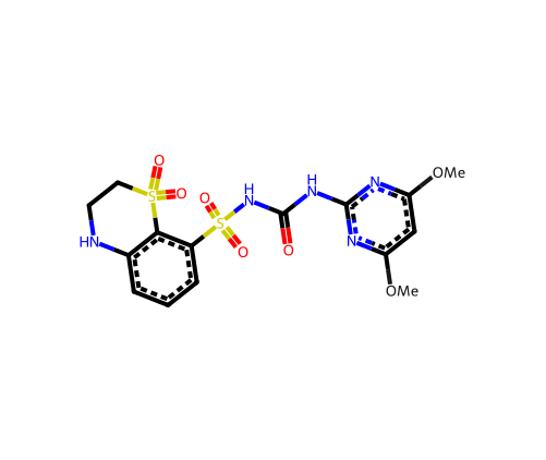 COc1cc(OC)nc(NC(=O)NS(=O)(=O)c2cccc3c2S(=O)(=O)CCN3)n1